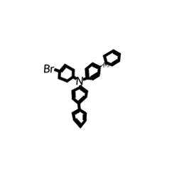 BrC1=CCC(N(c2c#cc([C@H]3C=CC=CC3)cc2)c2ccc(-c3ccccc3)cc2)CC1